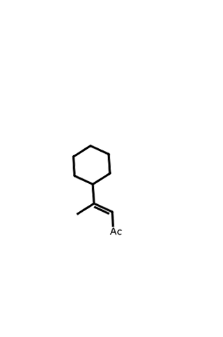 CC(=O)C=C(C)C1CCCCC1